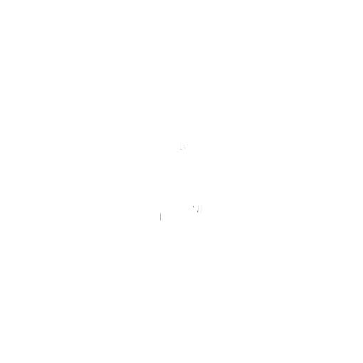 NC1=C(I)CCC(Br)C1